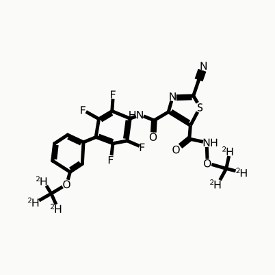 [2H]C([2H])([2H])ONC(=O)c1sc(C#N)nc1C(=O)Nc1c(F)c(F)c(-c2cccc(OC([2H])([2H])[2H])c2)c(F)c1F